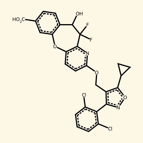 O=C(O)c1ccc2c(c1)Oc1ccc(OCc3c(-c4c(Cl)cccc4Cl)noc3C3CC3)nc1C(F)(F)C2O